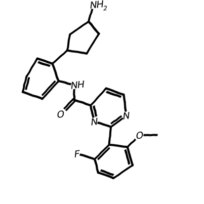 COc1cccc(F)c1-c1nccc(C(=O)Nc2ccccc2C2CCC(N)C2)n1